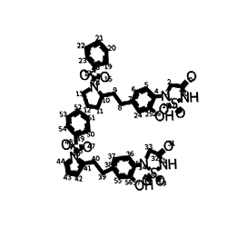 O=C1CN(c2ccc(CCC3CCCN3S(=O)(=O)c3ccccc3)cc2O)S(=O)(=O)N1.O=C1CN(c2ccc(CCc3cccn3S(=O)(=O)c3ccccc3)cc2O)S(=O)(=O)N1